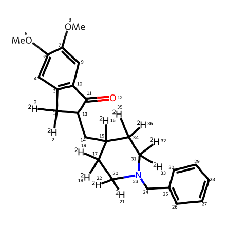 [2H]C1([2H])c2cc(OC)c(OC)cc2C(=O)C1CC1([2H])C([2H])([2H])C([2H])([2H])N(Cc2ccccc2)C([2H])([2H])C1([2H])[2H]